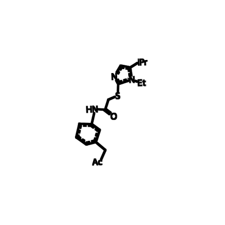 CCn1c(C(C)C)cnc1SCC(=O)Nc1cccc(CC(C)=O)c1